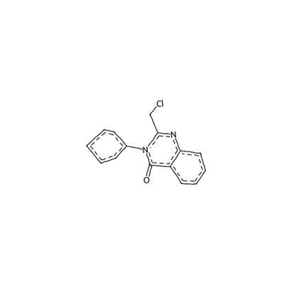 O=c1c2ccccc2nc(CCl)n1-c1ccccc1